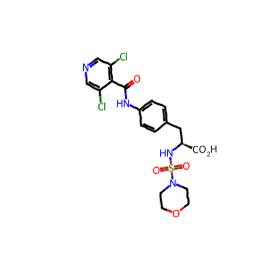 O=C(Nc1ccc(C[C@H](NS(=O)(=O)N2CCOCC2)C(=O)O)cc1)c1c(Cl)cncc1Cl